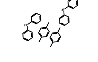 Cc1ccc(C)cc1.Cc1ccc(C)cc1.c1ccc(Pc2ccccc2)cc1.c1ccc(Pc2ccccc2)cc1